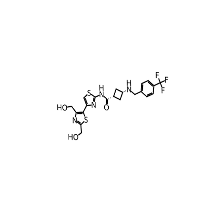 O=C(Nc1nc(-c2sc(CO)nc2CO)cs1)[C@H]1C[C@@H](NCc2ccc(C(F)(F)F)cc2)C1